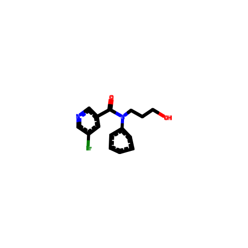 O=C(c1cncc(Br)c1)N(CCCO)c1ccccc1